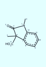 CN1C(=O)C(C)(C(=O)O)c2ccccc21